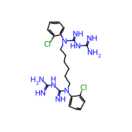 N=C(N)NC(=N)N(CCCCCCN(C(=N)NC(=N)N)c1ccccc1Cl)c1ccccc1Cl